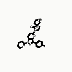 O=C1N(c2ccc3c(n2)c(-c2ccc(F)cc2)nn3C2CCCCO2)CC[C@]12CCNC2